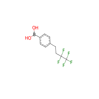 OB(O)c1ccc(CCC(F)(F)C(F)(F)F)cc1